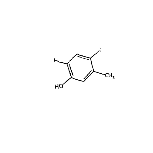 Cc1cc(O)c(I)cc1I